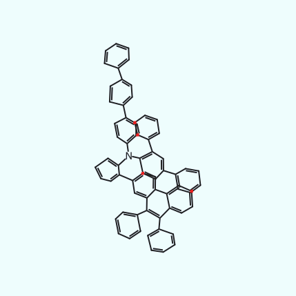 c1ccc(-c2ccc(-c3ccc(N(c4ccccc4-c4ccc5c(c4)c(-c4ccccc4)c(-c4ccccc4)c4ccccc45)c4ccc(-c5ccccc5)cc4-c4ccccc4)cc3)cc2)cc1